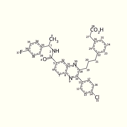 CC(NC(=O)c1ccc2nc(-c3ccc(Cl)cc3)c(CCCc3cccc(CC(=O)O)c3)nc2c1)c1ccc(F)cc1